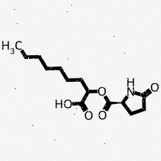 CCCCCCCC(OC(=O)[C@@H]1CCC(=O)N1)C(=O)O